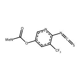 CNC(=O)Oc1cnc(N=C=S)c(C(F)(F)F)c1